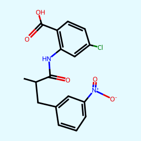 CC(Cc1cccc([N+](=O)[O-])c1)C(=O)Nc1cc(Cl)ccc1C(=O)O